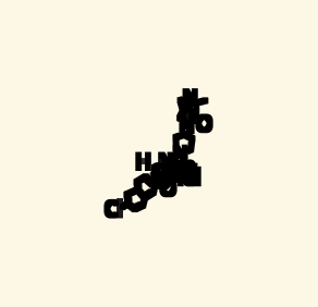 Cc1ncc2n1C(=O)N(C1CCN(C(=O)C(N)CS(=O)(=O)c3ccc4cc(Cl)ccc4c3)CC1)C2.Cl.Cl